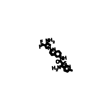 Cc1ccc2c(N)c(C(=O)N[C@H]3CCc4nc(N5CC(C(F)F)[C@H](N)C5)ccc4C3)sc2n1